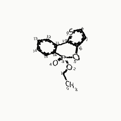 CCOP1(=O)Oc2ccsc2-c2ccccc21